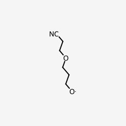 N#CCCOCCC[O]